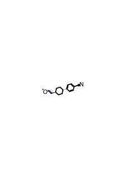 CO/C=C/[C@H]1CC[C@H](c2ccc(C#N)cc2)CC1